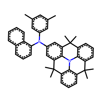 Cc1cc(C)cc(N(c2cc3c4c(c2)C(C)(C)c2cccc5c2N4c2c(cccc2C3(C)C)C5(C)C)c2cccc3ccccc23)c1